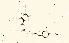 CCOC1CCC(CCCCNC(=N)NC(=O)c2nc(Cl)c(N)nc2N)CC1